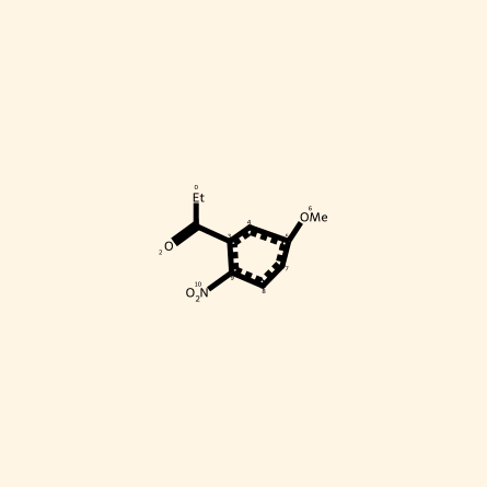 CCC(=O)c1cc(OC)ccc1[N+](=O)[O-]